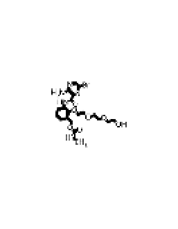 CNC(=O)OCc1cccc(NC(=O)c2nc(Br)cnc2N)c1OCCOCCOCCO